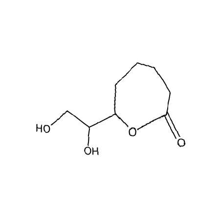 O=C1CCCCC(C(O)CO)O1